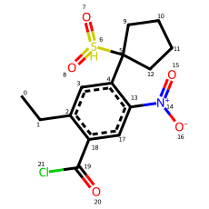 CCc1cc(C2([SH](=O)=O)CCCC2)c([N+](=O)[O-])cc1C(=O)Cl